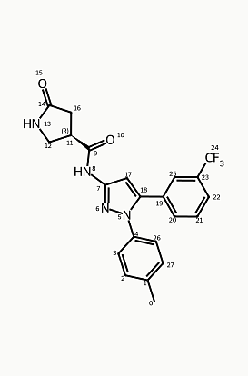 Cc1ccc(-n2nc(NC(=O)[C@H]3CNC(=O)C3)cc2-c2cccc(C(F)(F)F)c2)cc1